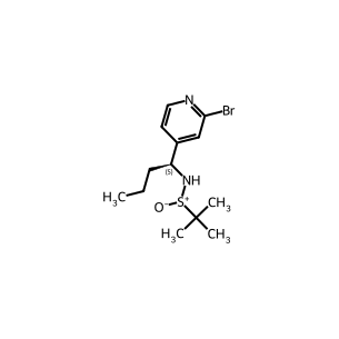 CCC[C@H](N[S+]([O-])C(C)(C)C)c1ccnc(Br)c1